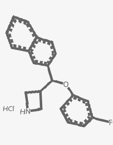 Cl.Fc1cccc(OC(c2ccc3ccccc3c2)C2CNC2)c1